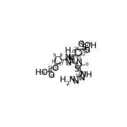 Cc1nc(N2N=C(c3cccc(OCC(=O)O)c3)NN2c2ccc(S(=O)(=O)O)cc2)sc1C.N=NC=NN